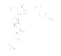 Cc1ccc(C(O)CCNC(=O)c2cccc(-c3ccc4nc(NC(=O)CN5CCC(C(F)(F)F)CC5)cn4n3)c2F)cc1